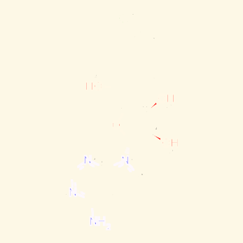 Nc1ncnc2c1ccn2[C@@H]1O[C@H](C(O)c2cccc(Cl)c2)[C@@H](O)[C@H]1O